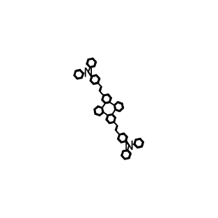 C(=C\c1ccc2c(c1)-c1ccccc1-c1ccc(/C=C/c3ccc(N(c4ccccc4)c4ccccc4)cc3)cc1-c1ccccc1-2)/c1ccc(N(c2ccccc2)c2ccccc2)cc1